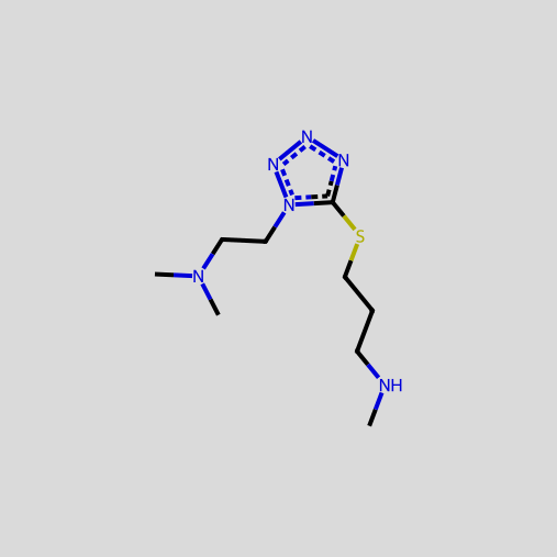 CNCCCSc1nnnn1CCN(C)C